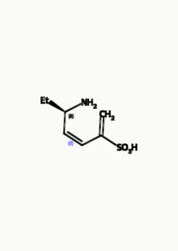 C=C(/C=C\[C@H](N)CC)S(=O)(=O)O